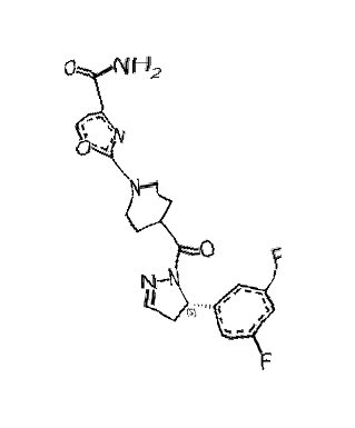 NC(=O)c1coc(N2CCC(C(=O)N3N=CC[C@H]3c3cc(F)cc(F)c3)CC2)n1